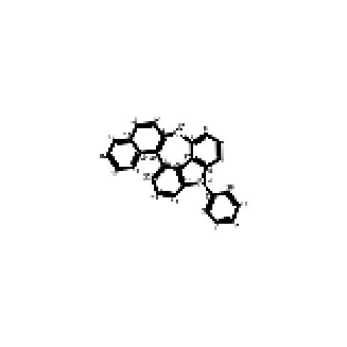 c1ccc(-n2c3cccc4oc5ccc6ccccc6c5c5cccc2c5c43)cc1